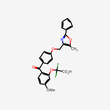 COc1ccc(C(=O)c2ccc(OCc3nc(-c4ccccc4)oc3C)cc2)c(OC(F)(F)C(=O)O)c1